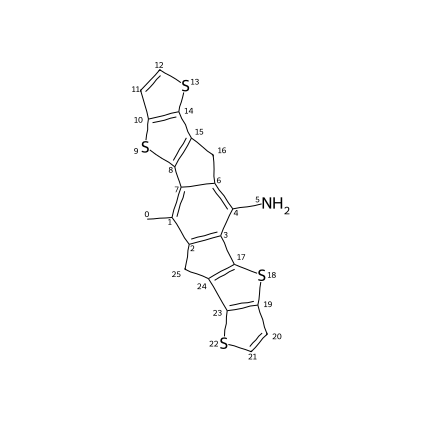 Cc1c2c(c(N)c3c1-c1sc4ccsc4c1C3)-c1sc3ccsc3c1C2